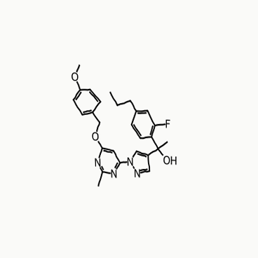 CCCc1ccc(C(C)(O)c2cnn(-c3cc(OCc4ccc(OC)cc4)nc(C)n3)c2)c(F)c1